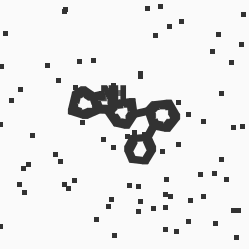 C1=CC(c2ccccc2-c2ccc3c(c2)[nH]c2ccccc23)=CCC1